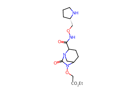 CCOC(=O)CON1C(=O)N2CC1CCC2C(=O)NOC[C@@H]1CCCN1